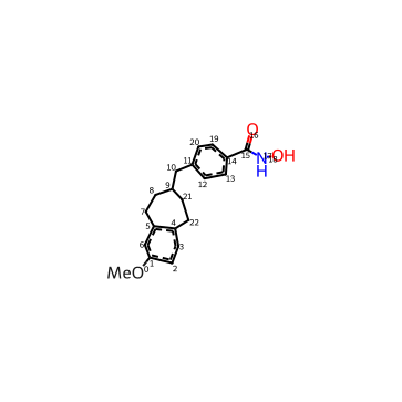 COc1ccc2c(c1)CCC(Cc1ccc(C(=O)NO)cc1)CC2